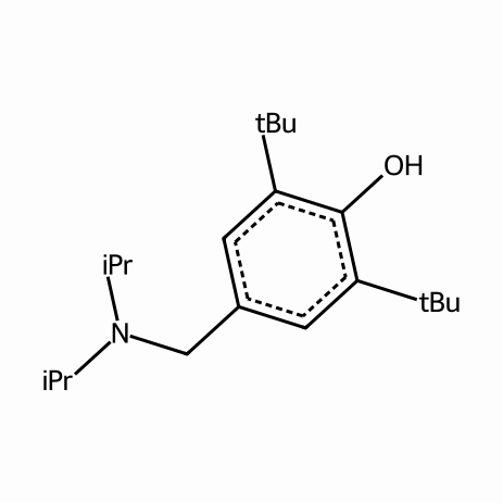 CC(C)N(Cc1cc(C(C)(C)C)c(O)c(C(C)(C)C)c1)C(C)C